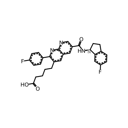 O=C(O)CCCCc1cc2cc(C(=O)N[C@H]3CCc4ccc(F)cc43)cnc2nc1-c1ccc(F)cc1